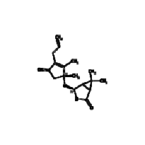 C=CCC1=C(C)[C@](C)(O[C@@H]2OC(=O)C3C2C3(C)C)CC1=O